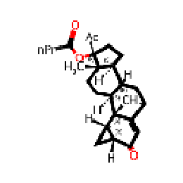 CCCC(=O)O[C@]1(C(C)=O)CC[C@H]2[C@@H]3CCC4=CC(=O)[C@@H]5C[C@@H]5[C@]4(C)[C@H]3CC[C@@]21C